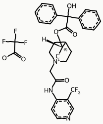 O=C(C[N+]12CCC(CC1)[C@@H](OC(=O)C(O)(c1ccccc1)c1ccccc1)C2)Nc1ccncc1C(F)(F)F.O=C([O-])C(F)(F)F